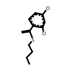 C=C(SCCCC)c1ccc(Cl)cc1Cl